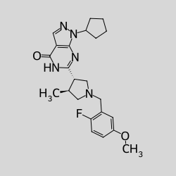 COc1ccc(F)c(CN2C[C@@H](C)[C@H](c3nc4c(cnn4C4CCCC4)c(=O)[nH]3)C2)c1